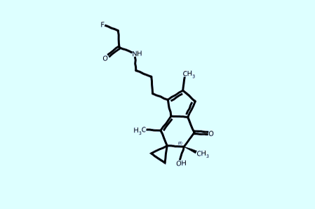 CC1=C(CCCNC(=O)CF)C2=C(C)C3(CC3)[C@@](C)(O)C(=O)C2=C1